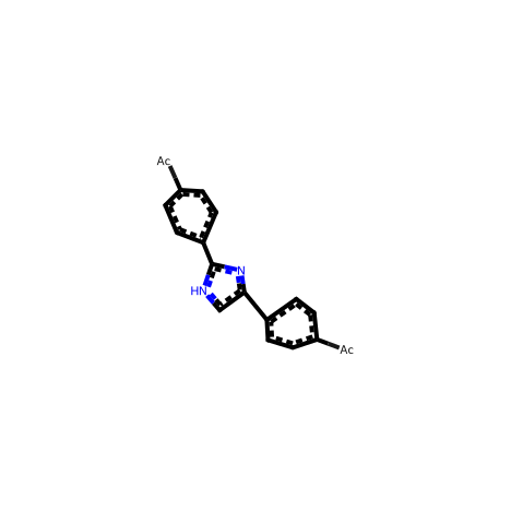 CC(=O)c1ccc(-c2c[nH]c(-c3ccc(C(C)=O)cc3)n2)cc1